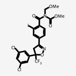 COCN(C(=O)OC)C(=O)c1ccc(C2=NOC(c3cc(Cl)cc(Cl)c3)(C(F)(F)F)C2)cc1I